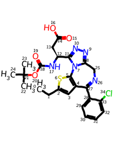 CCc1cc2c(s1)-n1c(nnc1[C@H](CC(=O)O)NC(=O)OC(C)(C)C)CN=C2c1ccccc1Cl